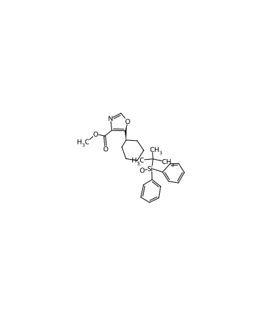 COC(=O)c1ncoc1[C@H]1CC[C@H](O[Si](c2ccccc2)(c2ccccc2)C(C)(C)C)CC1